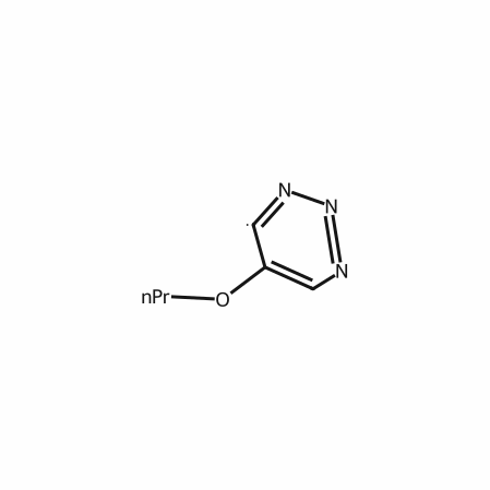 CCCOc1[c]nnnc1